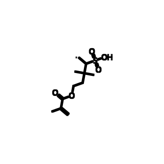 [CH2]C(C(C)(C)CCOC(=O)C(=C)C)S(=O)(=O)O